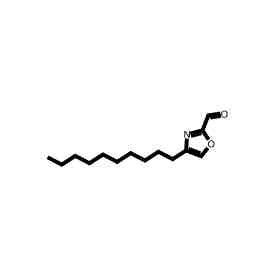 CCCCCCCCCCc1coc(C=O)n1